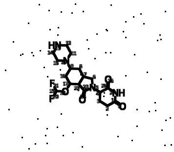 O=C1CCC(N2CC3CC(N4CCNCC4)CC(OC(F)F)C3C2=O)C(=O)N1